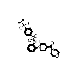 CN(C)S(=O)(=O)c1ccc(S(=O)(=O)Nc2ccccc2N2CCC(C(=O)N3CCOCC3)CC2)cc1